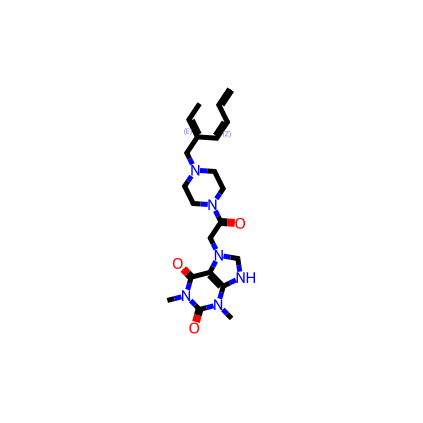 C=C/C=C\C(=C/C)CN1CCN(C(=O)CN2CNc3c2c(=O)n(C)c(=O)n3C)CC1